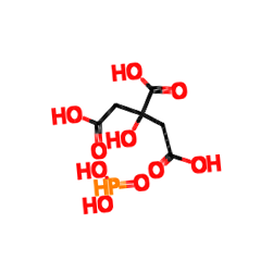 O=C(O)CC(O)(CC(=O)O)C(=O)O.O=[PH](O)O